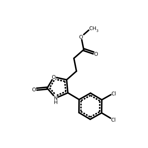 COC(=O)CCc1oc(=O)[nH]c1-c1ccc(Cl)c(Cl)c1